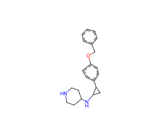 c1ccc(COc2ccc(C3CC3NC3CCNCC3)cc2)cc1